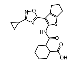 O=C(O)C1CCCCC1C(=O)Nc1sc2c(c1-c1nc(C3CC3)no1)CCC2